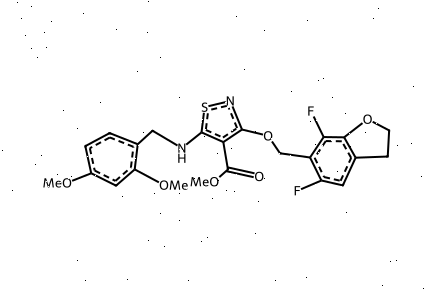 COC(=O)c1c(OCc2c(F)cc3c(c2F)OCC3)nsc1NCc1ccc(OC)cc1OC